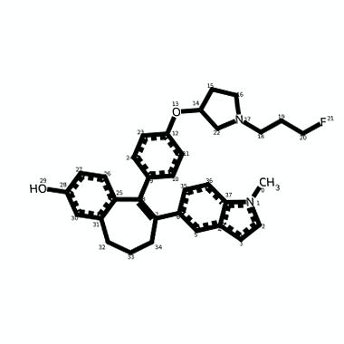 Cn1ccc2cc(C3=C(c4ccc(OC5CCN(CCCF)C5)cc4)c4ccc(O)cc4CCC3)ccc21